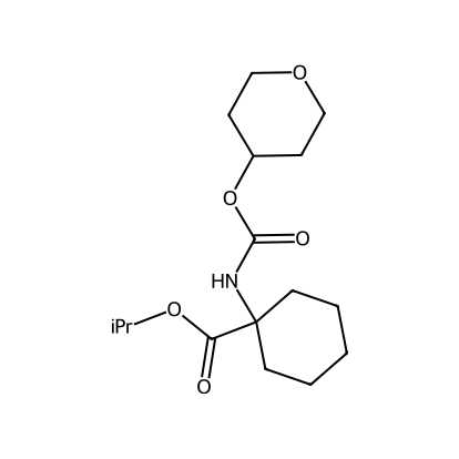 CC(C)OC(=O)C1(NC(=O)OC2CCOCC2)CCCCC1